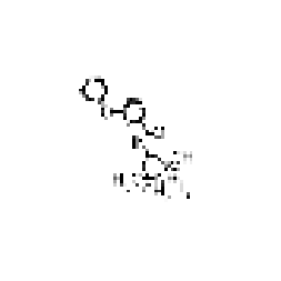 CC1(C)CC(NC(=O)c2cccc(Oc3ccccc3)c2)CC(C)(C)N1